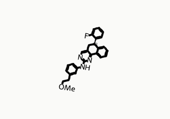 COCCc1cccc(Nc2ncc3c(n2)-c2ccccc2[C@H](c2ccccc2F)C3)c1